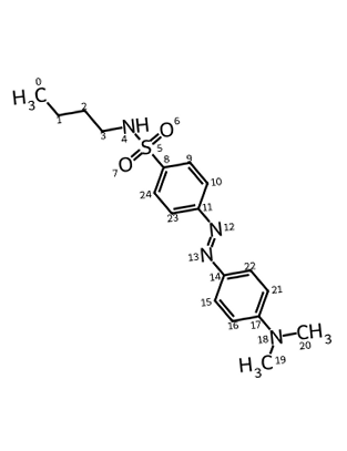 CCCCNS(=O)(=O)c1ccc(N=Nc2ccc(N(C)C)cc2)cc1